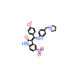 COc1ccc(C(Nc2ccc(CN3CCCC3)cc2)=C2C(=O)Nc3ccc([N+](=O)[O-])cc32)cc1